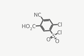 N#Cc1cc(Cl)c(S(=O)(=O)Cl)cc1C(=O)O